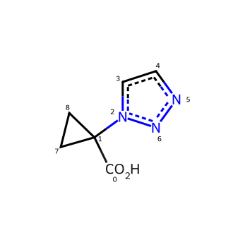 O=C(O)C1(n2ccnn2)CC1